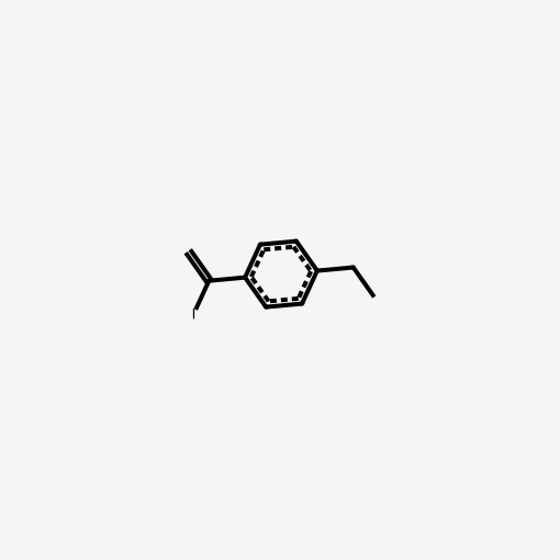 C=C(I)c1ccc(CC)cc1